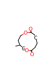 CC1CCOC(=O)CCCCC(=O)OC1